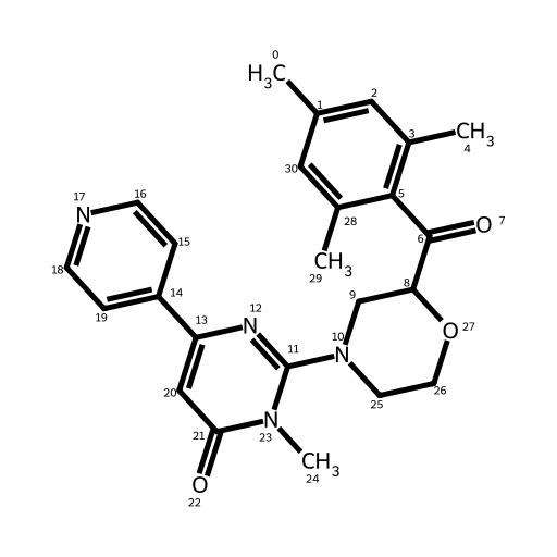 Cc1cc(C)c(C(=O)C2CN(c3nc(-c4ccncc4)cc(=O)n3C)CCO2)c(C)c1